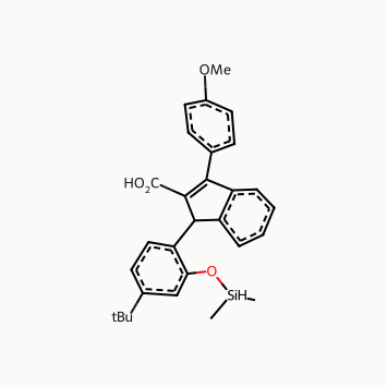 COc1ccc(C2=C(C(=O)O)C(c3ccc(C(C)(C)C)cc3O[SiH](C)C)c3ccccc32)cc1